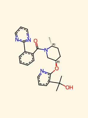 C[C@@H]1CC[C@@H](Oc2ncccc2C(C)(C)O)CN1C(=O)c1ccccc1-c1ncccn1